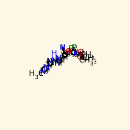 CN1CCN(c2ccc(Nc3nccc(-c4ccc(OC5CCN(C(=O)OC(C)(C)C)CC5(F)F)c(C#N)c4)n3)nc2)CC1